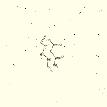 NC(=O)OC(=O)O.O=CNNNC=O